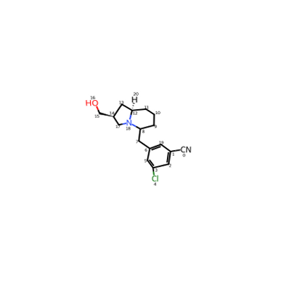 N#Cc1cc(Cl)cc(CC2CCC[C@@H]3C[C@H](CO)CN23)c1